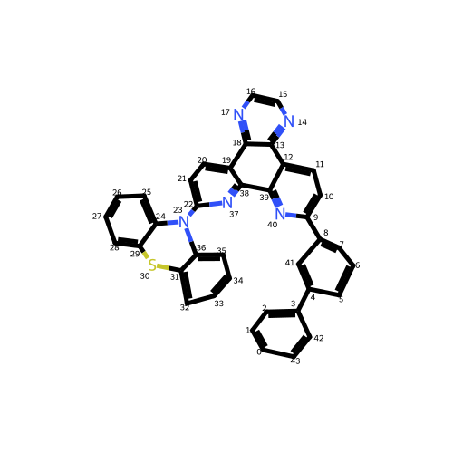 c1ccc(-c2cccc(-c3ccc4c5nccnc5c5ccc(N6c7ccccc7Sc7ccccc76)nc5c4n3)c2)cc1